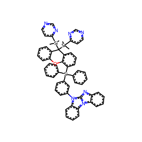 C[Si](C)(c1ccncn1)C1([Si](C)(C)c2ccncn2)c2ccccc2Oc2c1cccc2[Si](c1ccccc1)(c1ccccc1)c1cccc(-n2c3ccccc3n3c4ccccc4nc23)c1